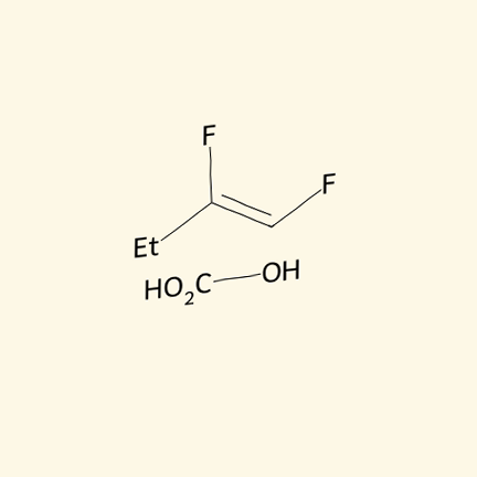 CCC(F)=CF.O=C(O)O